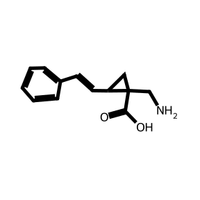 NCC1(C(=O)O)CC1C=Cc1ccccc1